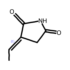 C/C=C1\CC(=O)NC1=O